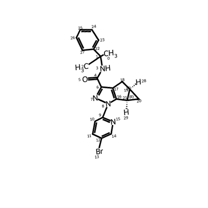 CC(C)(NC(=O)c1nn(-c2ccc(Br)cn2)c2c1C[C@H]1C[C@@H]21)c1ccccc1